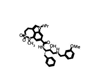 CCCn1cc2c3c(cc(C(=O)N[C@@H](Cc4ccccc4)[C@H](O)CNCc4cccc(OC)c4)cc31)N(C)S(=O)(=O)CC2